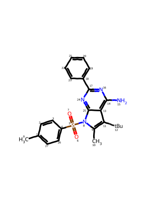 Cc1ccc(S(=O)(=O)n2c(C)c(C(C)(C)C)c3c(N)nc(-c4ccccc4)nc32)cc1